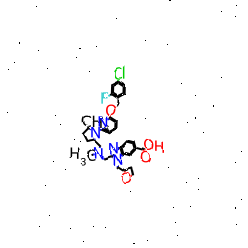 CC1CCC(CN(C)Cc2nc3ccc(C(=O)O)cc3n2CC2CCO2)N1c1cccc(OCc2ccc(Cl)cc2F)n1